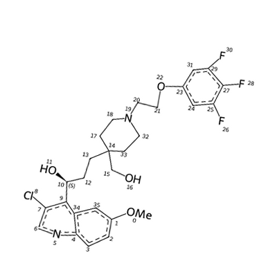 COc1ccc2ncc(Cl)c([C@@H](O)CCC3(CO)CCN(CCOc4cc(F)c(F)c(F)c4)CC3)c2c1